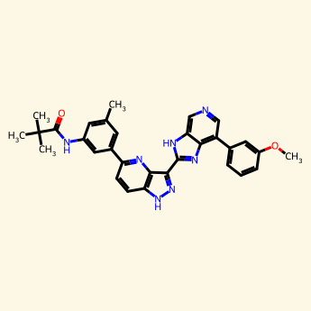 COc1cccc(-c2cncc3[nH]c(-c4n[nH]c5ccc(-c6cc(C)cc(NC(=O)C(C)(C)C)c6)nc45)nc23)c1